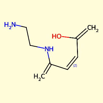 C=C(O)/C=C\C(=C)NCCN